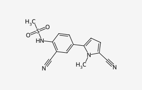 Cn1c(C#N)ccc1-c1ccc(NS(C)(=O)=O)c(C#N)c1